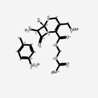 COCC1=C(C(=O)OCOC(=O)C(C)(C)C)N2C(=O)C(N)[C@@H]2SC1.Cc1ccc(S(=O)(=O)O)cc1